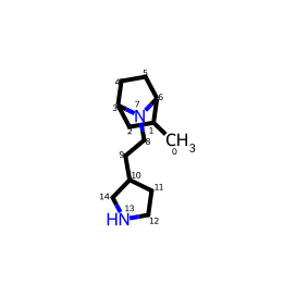 CC1CC2CCC1N2CCC1CCNC1